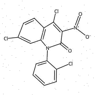 O=c1c([N+](=O)[O-])c(Cl)c2ccc(Cl)cc2n1-c1ccccc1Cl